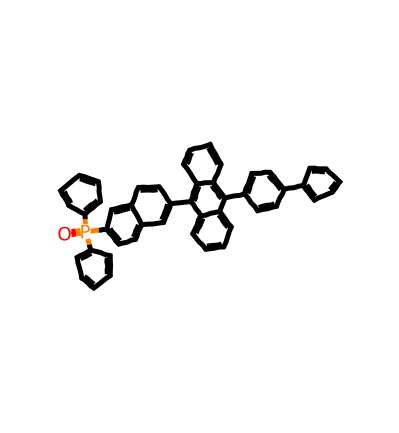 O=P(c1ccccc1)(c1ccccc1)c1ccc2cc(-c3c4ccccc4c(-c4ccc(-c5ccccc5)cc4)c4ccccc34)ccc2c1